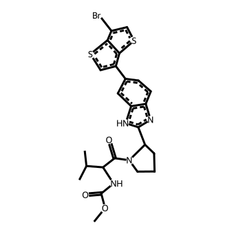 COC(=O)NC(C(=O)N1CCCC1c1nc2ccc(-c3csc4c(Br)csc34)cc2[nH]1)C(C)C